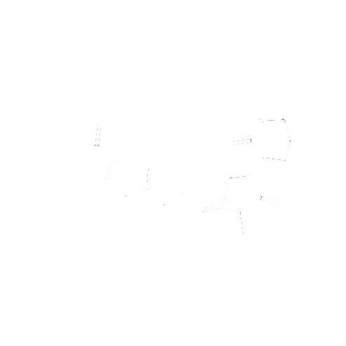 CC1C(=O)N(C2CCC(=O)NC2=O)c2ccc(CN3CCN(C(=O)OC(C)(C)C)CC3)cc21